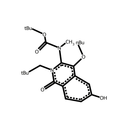 CCCCOc1c(N(C)C(=O)OC(C)(C)C)n(CC(C)(C)C)c(=O)c2ccc(O)cc12